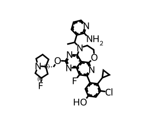 CC(c1cccnc1N)N1CCOc2nc(-c3cc(O)cc(Cl)c3C3CC3)c(F)c3nc(OC[C@@]45CCCN4C[C@H](F)C5)nc1c23